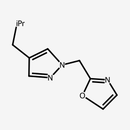 CC(C)Cc1cnn(Cc2ncco2)c1